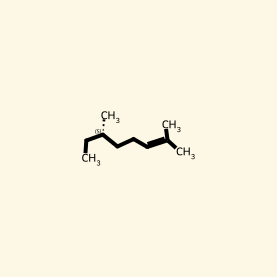 CC[C@H](C)CCC=C(C)C